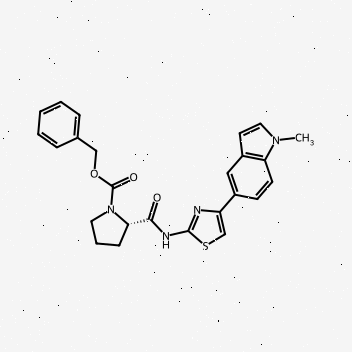 Cn1ccc2cc(-c3csc(NC(=O)[C@@H]4CCCN4C(=O)OCc4ccccc4)n3)ccc21